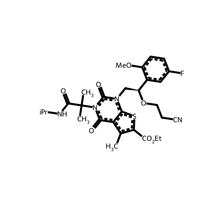 CCOC(=O)c1sc2c(c1C)c(=O)n(C(C)(C)C(=O)NC(C)C)c(=O)n2C[C@H](OCCC#N)c1cc(F)ccc1OC